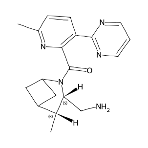 Cc1ccc(-c2ncccn2)c(C(=O)N2C3CC(C3)[C@@H](C)[C@H]2CN)n1